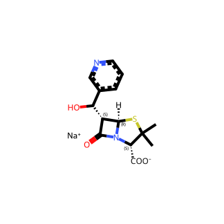 CC1(C)S[C@@H]2[C@@H](C(O)c3cccnc3)C(=O)N2[C@H]1C(=O)[O-].[Na+]